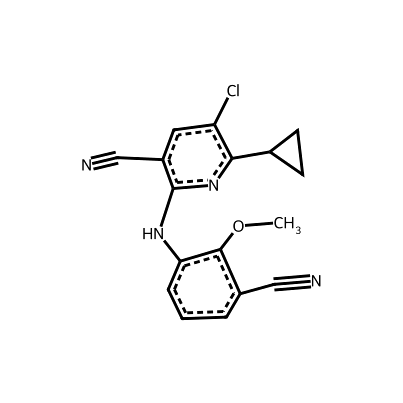 COc1c(C#N)cccc1Nc1nc(C2CC2)c(Cl)cc1C#N